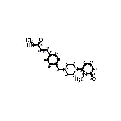 Cn1c(N2CCN(Cc3ccc(/C=C/C(=O)NO)cc3)CC2)cccc1=O